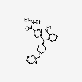 CCNc1ccccc1C(=C1CCN(Cc2ccccn2)CC1)c1ccc(C(=O)N(CC)CC)cc1